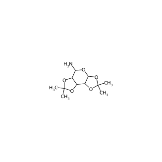 CC1(C)OC2OC(N)C3OC(C)(C)OC3C2O1